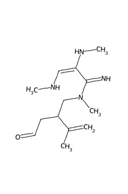 C=C(C)C(CC=O)CN(C)C(=N)/C(=C\NC)NC